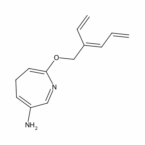 C=C/C=C(\C=C)COC1=CCC=C(N)C=N1